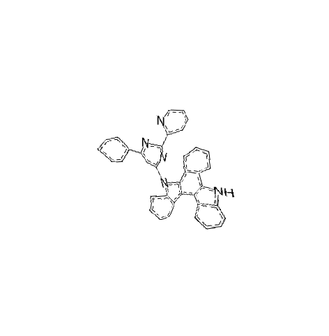 c1ccc(-c2cc(-n3c4ccccc4c4c5c6ccccc6[nH]c5c5ccccc5c43)nc(-c3ccccn3)n2)cc1